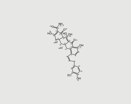 CCc1cc(C/C=C\c2ccc(O)c3c2C[C@H]2C[C@H]4CC(O)=C(C(N)=O)C(=O)[C@@]4(O)C(O)=C2C3=O)ccc1O